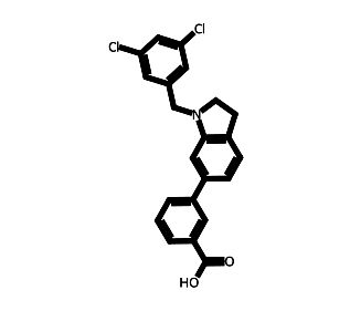 O=C(O)c1cccc(-c2ccc3c(c2)N(Cc2cc(Cl)cc(Cl)c2)CC3)c1